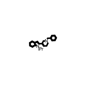 CC(C)n1c(C2=CCCN(Cc3ccccc3)C2)cc2ccccc21